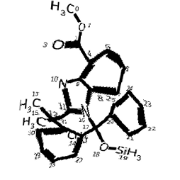 COC(=O)c1cccc2c1nc(C(C)(C)C)n2C(O[SiH3])(c1ccccc1)c1ccccc1